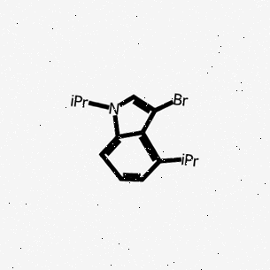 CC(C)c1cccc2c1c(Br)cn2C(C)C